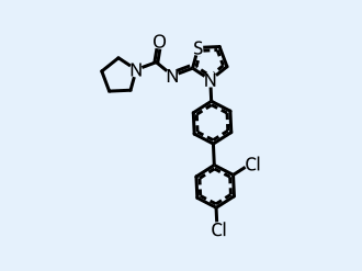 O=C(/N=c1\sccn1-c1ccc(-c2ccc(Cl)cc2Cl)cc1)N1CCCC1